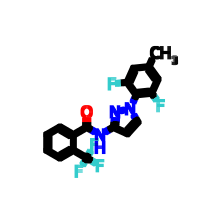 Cc1cc(F)c(-n2ccc(NC(=O)c3ccccc3C(F)(F)F)n2)c(F)c1